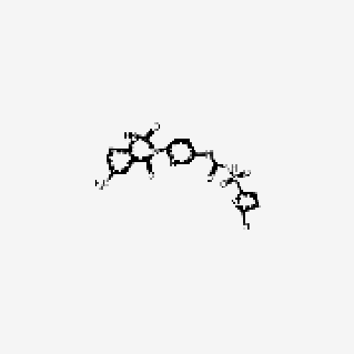 O=C(Nc1ccc(-n2c(=O)[nH]c3ccc(C(F)(F)F)cc3c2=O)nc1)NS(=O)(=O)c1ccc(Cl)s1